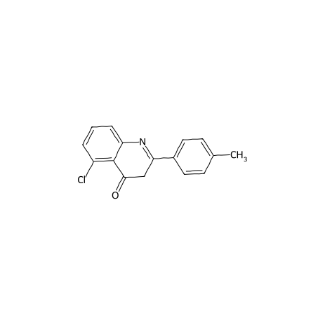 Cc1ccc(C2=Nc3cccc(Cl)c3C(=O)C2)cc1